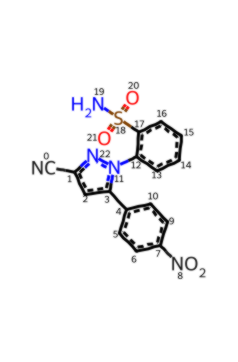 N#Cc1cc(-c2ccc([N+](=O)[O-])cc2)n(-c2ccccc2S(N)(=O)=O)n1